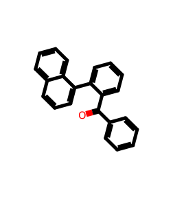 O=C(c1ccccc1)c1ccccc1-c1cccc2ccccc12